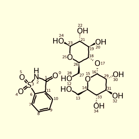 O=C1NS(=O)(=O)c2ccccc21.OC[C@H]1O[C@H](O[C@H]2[C@H](O)[C@@H](O)[C@H](O)O[C@@H]2CO)[C@H](O)[C@@H](O)[C@@H]1O